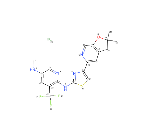 CNc1cnc(Nc2nc(-c3cc4c(cn3)OC(C)(C)C4)cs2)c(C(F)(F)F)c1.Cl